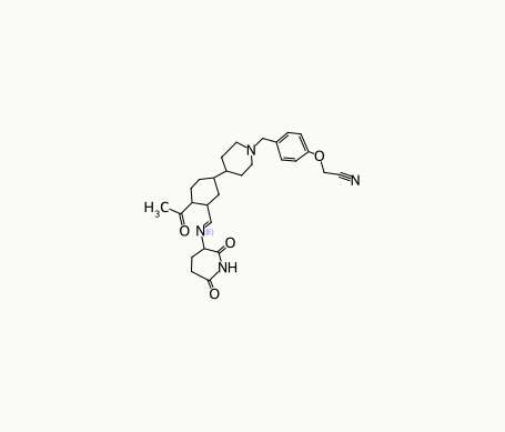 CC(=O)C1CCC(C2CCN(Cc3ccc(OCC#N)cc3)CC2)CC1/C=N/C1CCC(=O)NC1=O